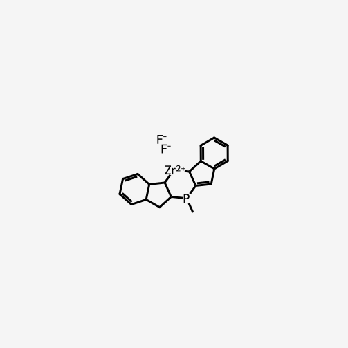 CP1C2=Cc3ccccc3[CH]2[Zr+2][CH]2C3C=CC=CC3CC21.[F-].[F-]